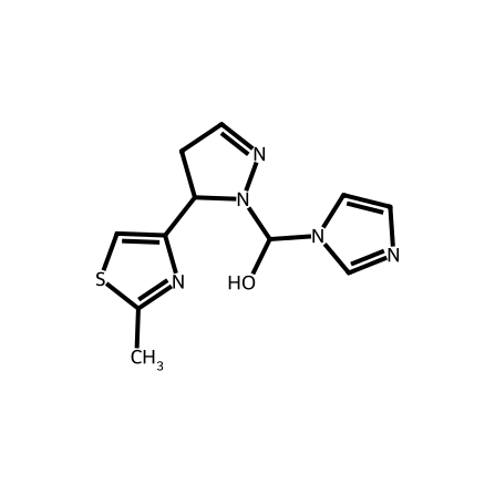 Cc1nc(C2CC=NN2C(O)n2ccnc2)cs1